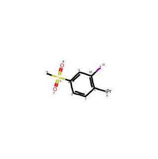 CC(C)c1ccc(S(C)(=O)=O)cc1I